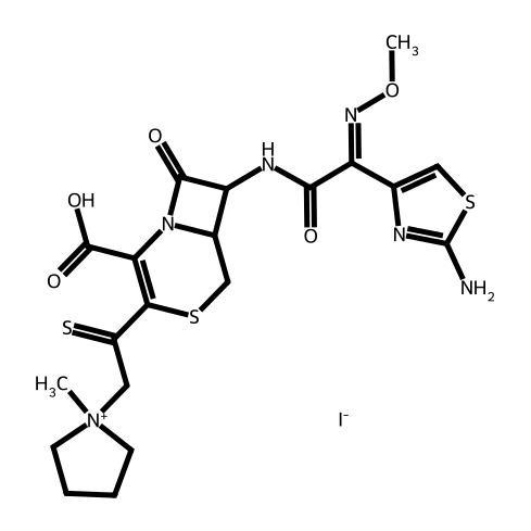 CON=C(C(=O)NC1C(=O)N2C(C(=O)O)=C(C(=S)C[N+]3(C)CCCC3)SCC12)c1csc(N)n1.[I-]